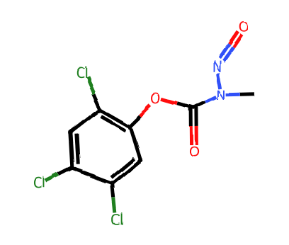 CN(N=O)C(=O)Oc1cc(Cl)c(Cl)cc1Cl